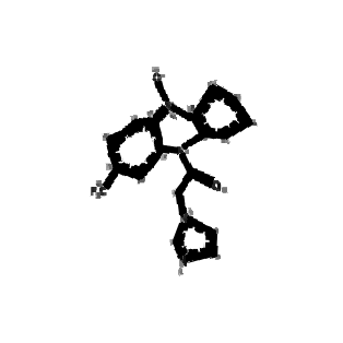 O=C(Cn1ccnc1)N1c2ccccc2[S+]([O-])c2ccc(C(F)(F)F)cc21